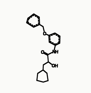 O=C(Nc1cccc(OCc2ccccc2)c1)C(O)CC1CCCCC1